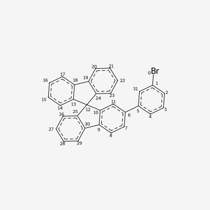 Brc1cccc(-c2ccc3c(c2)C2(c4ccccc4-c4ccccc42)c2ccccc2-3)c1